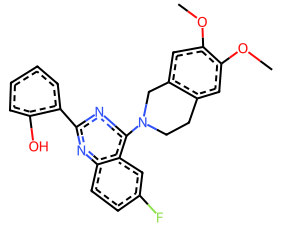 COc1cc2c(cc1OC)CN(c1nc(-c3ccccc3O)nc3ccc(F)cc13)CC2